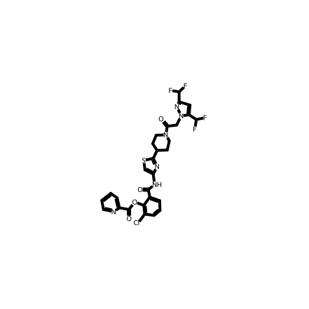 O=C(Oc1c(Cl)cccc1C(=O)Nc1csc(C2CCN(C(=O)Cn3nc(C(F)F)cc3C(F)F)CC2)n1)c1ccccn1